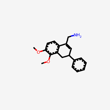 COc1ccc2c(c1OC)CC(c1ccccc1)C=C2CN